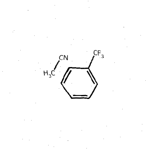 CC#N.FC(F)(F)c1ccccc1